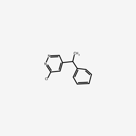 CC(c1ccccc1)c1cnnc(Cl)c1